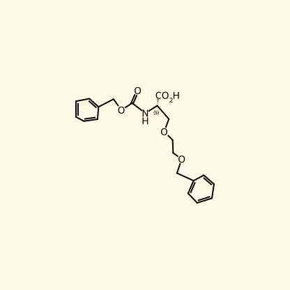 O=C(N[C@@H](COCCOCc1ccccc1)C(=O)O)OCc1ccccc1